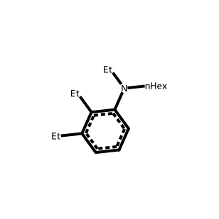 CCCCCCN(CC)c1cccc(CC)c1CC